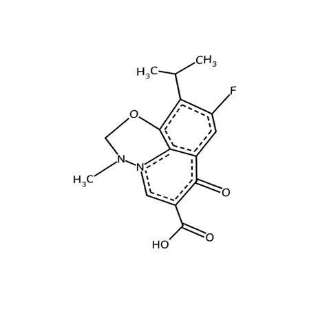 CC(C)c1c(F)cc2c(=O)c(C(=O)O)cn3c2c1OCN3C